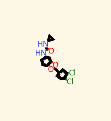 O=C(Nc1ccc2c(c1)OC(c1ccc(Cl)c(Cl)c1)O2)NC1CC1